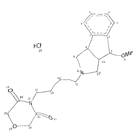 COC1c2ccccc2C2CN(CCCCN3C(=O)COCC3=O)CC21.Cl